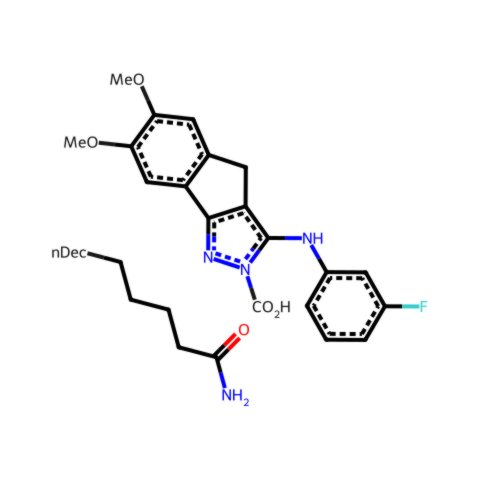 CCCCCCCCCCCCCCC(N)=O.COc1cc2c(cc1OC)-c1nn(C(=O)O)c(Nc3cccc(F)c3)c1C2